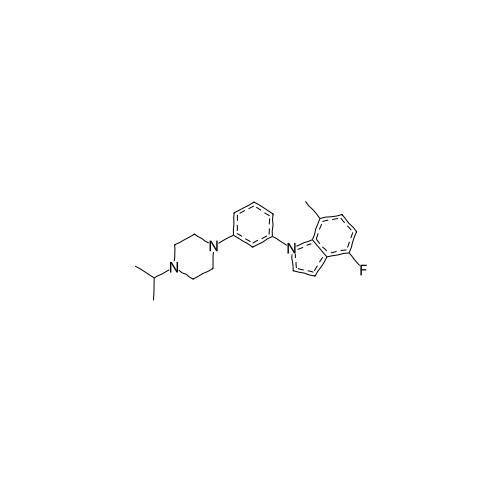 Cc1ccc(F)c2ccn(-c3cccc(N4CCN(C(C)C)CC4)c3)c12